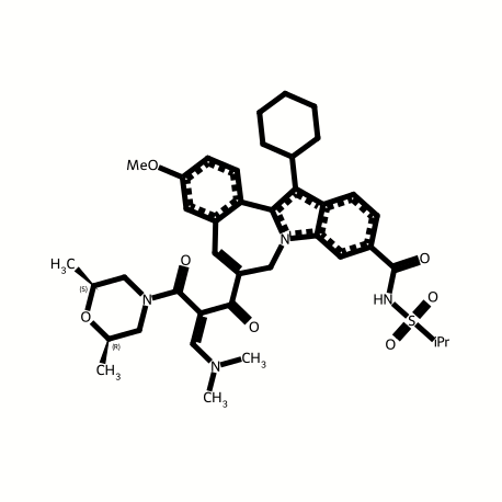 COc1ccc2c(c1)C=C(C(=O)C(=CN(C)C)C(=O)N1C[C@@H](C)O[C@@H](C)C1)Cn1c-2c(C2CCCCC2)c2ccc(C(=O)NS(=O)(=O)C(C)C)cc21